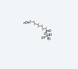 CCCCCCCCCCCCCCCCCC(=O)OC(CC)(CC)CC